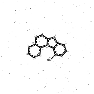 CC(C)(C)c1cccc2sc3ccc4ccccc4c3c12